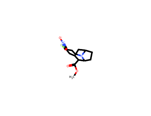 COC(=O)C1C(CC#[N+][O-])CC2CCC1N2CCCF